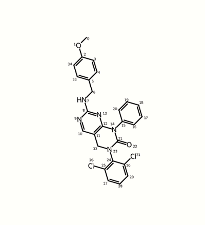 COc1ccc(CNc2ncc3c(n2)N(c2ccccc2)C(=O)N(c2c(Cl)cccc2Cl)C3)cc1